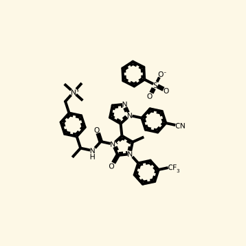 Cc1c(-c2ccnn2-c2ccc(C#N)cc2)n(C(=O)NC(C)c2ccc(C[N+](C)(C)C)cc2)c(=O)n1-c1cccc(C(F)(F)F)c1.O=S(=O)([O-])c1ccccc1